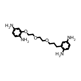 Nc1ccc(N)c(CCCOCCOCCOc2cc(N)ccc2N)c1